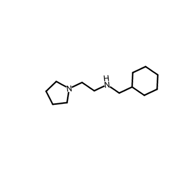 C1CCC(CNCCN2CCCC2)CC1